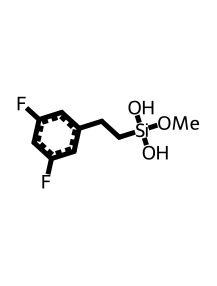 CO[Si](O)(O)CCc1cc(F)cc(F)c1